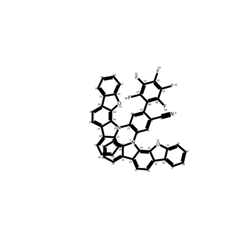 N#Cc1cc(-n2c3ccccc3c3ccc4c5ccccc5oc4c32)c(-n2c3ccccc3c3ccc4c5ccccc5oc4c32)cc1-c1c(F)c(F)c(F)c(F)c1F